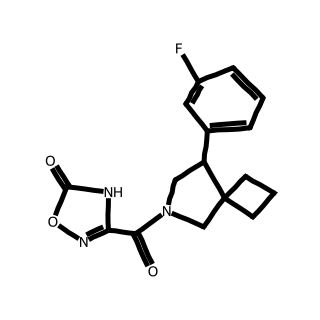 O=C(c1noc(=O)[nH]1)N1CC(c2cccc(F)c2)C2(CCC2)C1